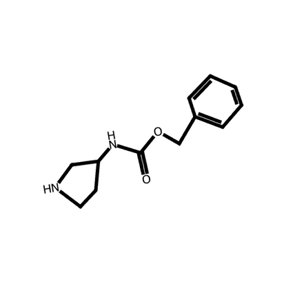 O=C(NC1CCNC1)OCc1ccccc1